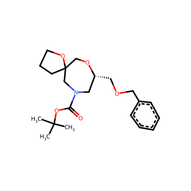 CC(C)(C)OC(=O)N1C[C@@H](COCc2ccccc2)OCC2(CCCO2)C1